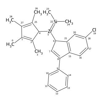 CC1=C(C)[CH]([Zr]([CH]2C=C(c3ccccc3)c3ccc(Cl)cc32)=[Si](C)C)C(C)=C1C